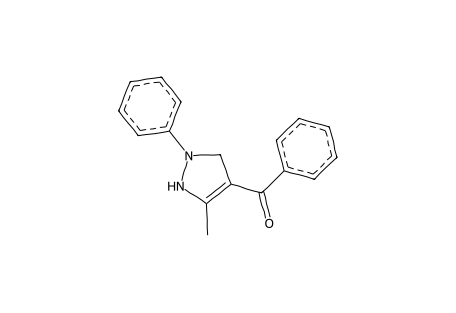 CC1=C(C(=O)c2ccccc2)CN(c2ccccc2)N1